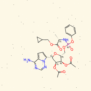 CC(=O)O[C@@H]1[C@H](OC(C)=O)[C@@H](CO[P@](=O)(N[C@@H](C)C(=O)OCC2CC2)Oc2ccccc2)O[C@H]1c1ccc2c(N)ncnn12